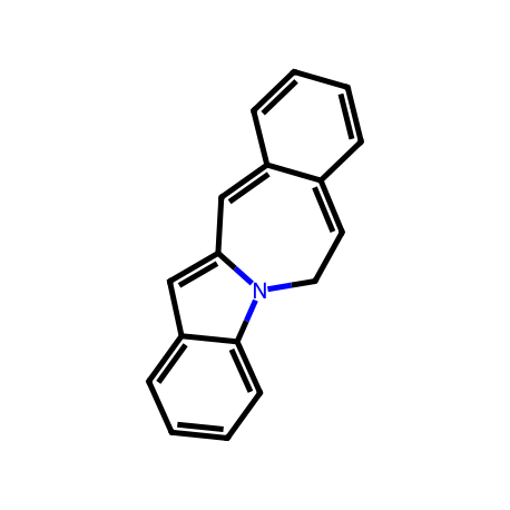 C1=c2ccccc2=Cc2cc3ccccc3n2C1